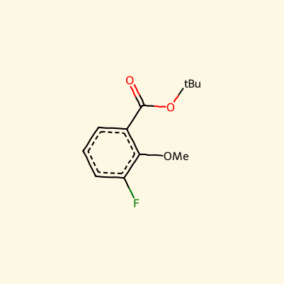 COc1c(F)cccc1C(=O)OC(C)(C)C